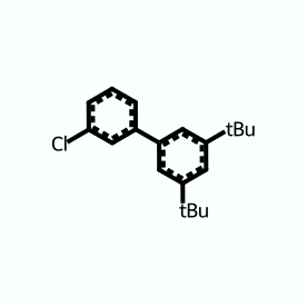 CC(C)(C)c1cc(-c2cccc(Cl)c2)cc(C(C)(C)C)c1